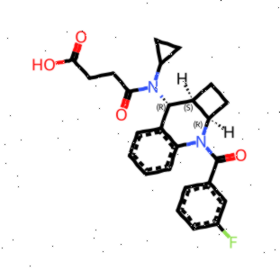 O=C(O)CCC(=O)N(C1CC1)[C@H]1c2ccccc2N(C(=O)c2cccc(F)c2)[C@@H]2CC[C@@H]21